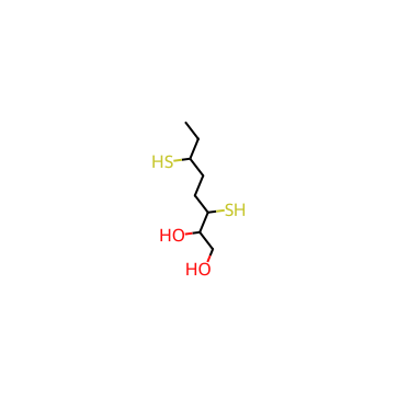 CCC(S)CCC(S)C(O)CO